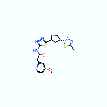 COc1ccnc(CC(=O)Nc2nnc(C3CC[C@H](N4NN=C(C)S4)C3)s2)c1